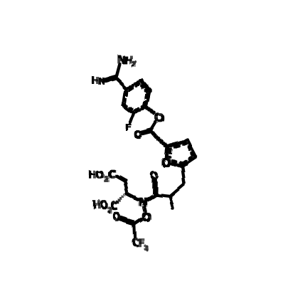 CC(Cc1ccc(C(=O)Oc2ccc(C(=N)N)cc2F)o1)C(=O)N(OC(=O)C(F)(F)F)[C@@H](CC(=O)O)C(=O)O